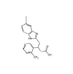 Cc1ccccc1C(CC(=O)O)Cc1nc2cc(I)ccc2[nH]1